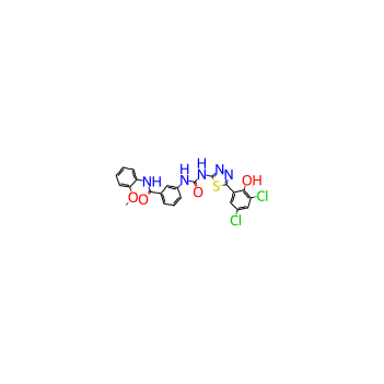 COc1ccccc1NC(=O)c1cccc(NC(=O)Nc2nnc(-c3cc(Cl)cc(Cl)c3O)s2)c1